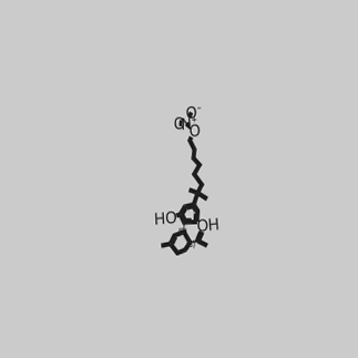 C=C(C)[C@H]1CCC(C)=C[C@@H]1c1c(O)cc(C(C)(C)CCCCCCO[N+](=O)[O-])cc1O